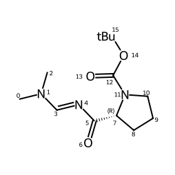 CN(C)C=NC(=O)[C@H]1CCCN1C(=O)OC(C)(C)C